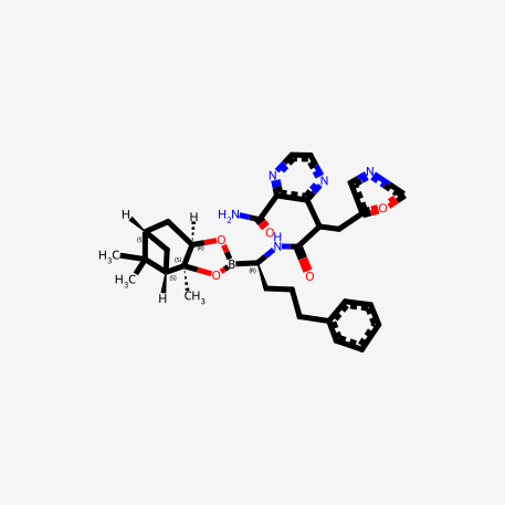 CC1(C)[C@@H]2C[C@H]3OB([C@H](CCCc4ccccc4)NC(=O)C(Cc4cnco4)c4nccnc4C(N)=O)O[C@@]3(C)[C@H]1C2